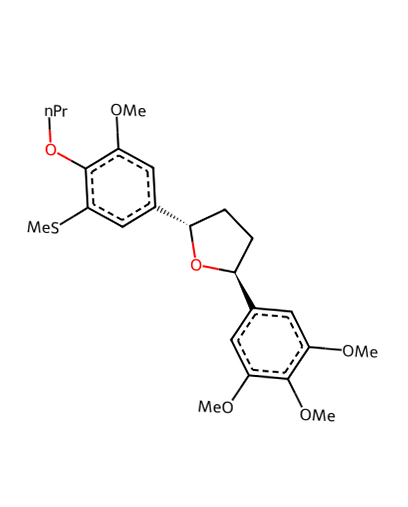 CCCOc1c(OC)cc([C@@H]2CC[C@@H](c3cc(OC)c(OC)c(OC)c3)O2)cc1SC